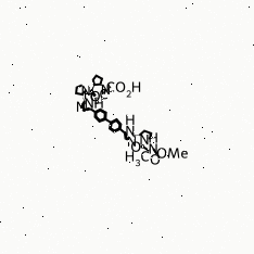 COC(=O)N[C@@H](C)C(=O)N1CCC[C@H]1c1ncc(-c2ccc(-c3ccc(-c4cnc([C@@H]5CCCN5C(=O)[C@H]5CCC[C@@H]5N(C)C(=O)O)[nH]4)cc3)cc2)[nH]1